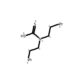 CC(C)CCN(CCC(C)C)C(=S)S